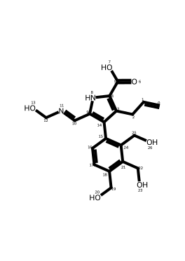 C=CCc1c(C(=O)O)[nH]c(/C=N/CO)c1-c1ccc(CO)c(CO)c1CO